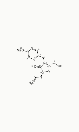 C=CC[C@@H]1C[C@@H](CO)N(Cc2ccc(OC)cc2)C1=O